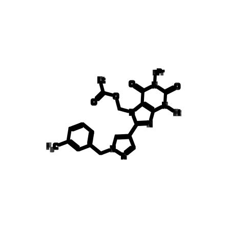 CCCn1c(=O)c2c(nc(-c3cnn(Cc4cccc(C(F)(F)F)c4)c3)n2COC(=O)CC)n(CC)c1=O